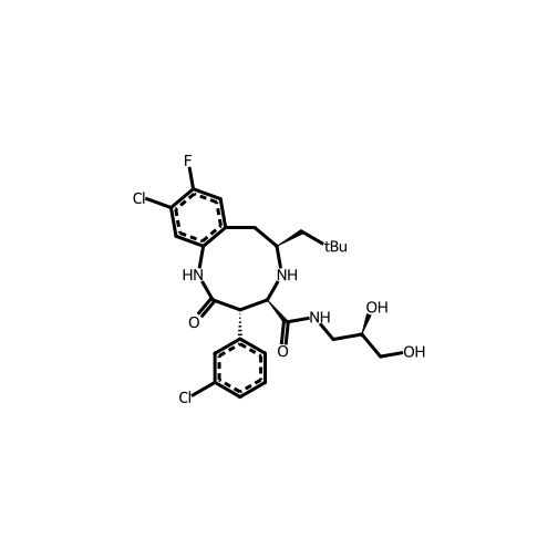 CC(C)(C)C[C@@H]1Cc2cc(F)c(Cl)cc2NC(=O)[C@@H](c2cccc(Cl)c2)[C@H](C(=O)NC[C@@H](O)CO)N1